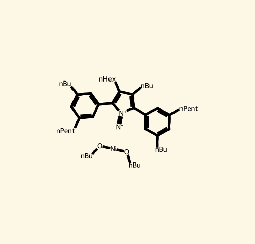 CCCCCCC1=C(c2cc(CCCC)cc(CCCCC)c2)[N+](=[N-])C(c2cc(CCCC)cc(CCCCC)c2)=C1CCCC.CCCC[O][Ni][O]CCCC